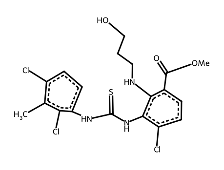 COC(=O)c1ccc(Cl)c(NC(=S)Nc2ccc(Cl)c(C)c2Cl)c1NCCCO